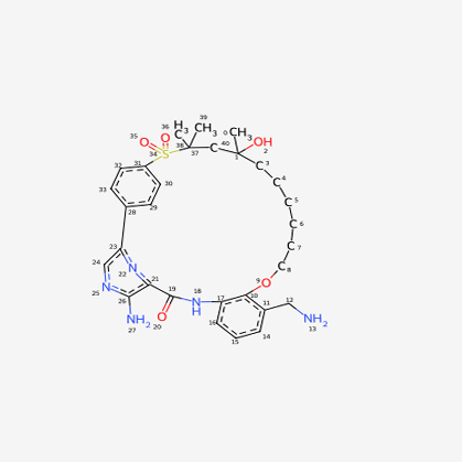 CC1(O)CCCCCCOc2c(CN)cccc2NC(=O)c2nc(cnc2N)-c2ccc(cc2)S(=O)(=O)C(C)(C)C1